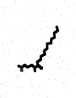 CCCCCCCCCCCCCC(=O)N(C)CCCNC